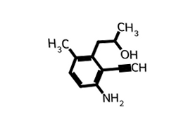 C#Cc1c(N)ccc(C)c1CC(C)O